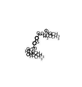 CC(C)(C)OC(=O)N1CCC[C@H]1C(=O)OCC(=O)c1ccc2c(c1)sc1cc(C(=O)COC(=O)C3[C@H]4CC[C@H](C4)N3C(=O)OC(C)(C)C)ccc12